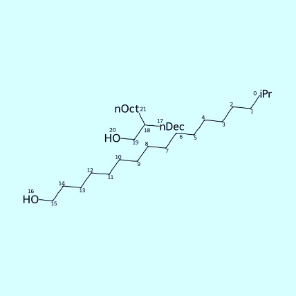 CC(C)CCCCCCCCCCCCCCCO.CCCCCCCCCCC(CO)CCCCCCCC